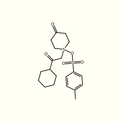 Cc1ccc(S(=O)(=O)OS2(CC(=O)C3CCCCC3)CCC(=O)CC2)cc1